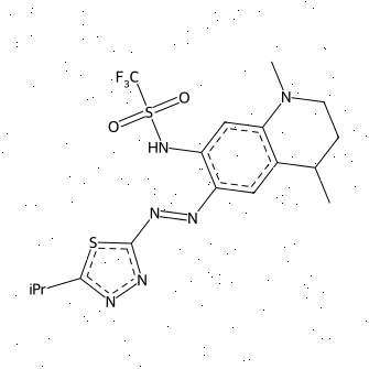 CC(C)c1nnc(N=Nc2cc3c(cc2NS(=O)(=O)C(F)(F)F)N(C)CCC3C)s1